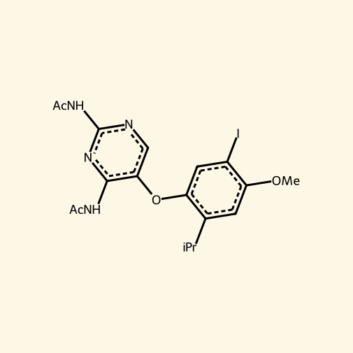 COc1cc(C(C)C)c(Oc2cnc(NC(C)=O)nc2NC(C)=O)cc1I